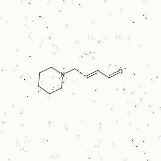 O=CC=CCN1CCCCC1